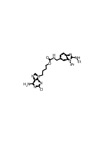 CCNc1nc2ccc(CNC(=O)OCCCCn3cnc4c(N)nc(Cl)nc43)cc2n1C(C)C